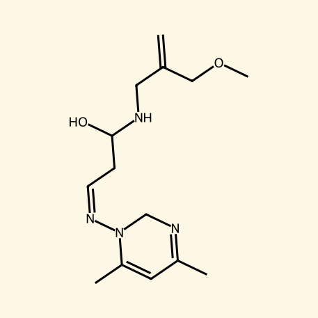 C=C(CNC(O)C/C=N\N1CN=C(C)C=C1C)COC